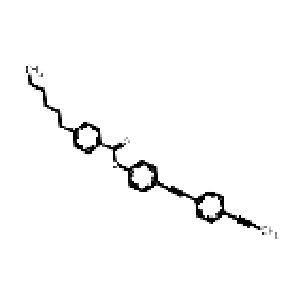 CC#Cc1ccc(C#Cc2ccc(OC(=O)c3ccc(CCCCCC)cc3)cc2)cc1